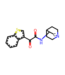 O=C(NC1CN2CCC1CC2)C(=O)c1csc2ccccc12